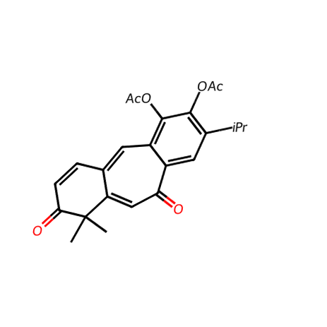 CC(=O)Oc1c(C(C)C)cc2c(=O)cc3c(cc2c1OC(C)=O)C=CC(=O)C3(C)C